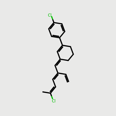 C=CC(=C\C=C(/C)Cl)/C=C1/C=C(c2ccc(Cl)cc2)CCC1